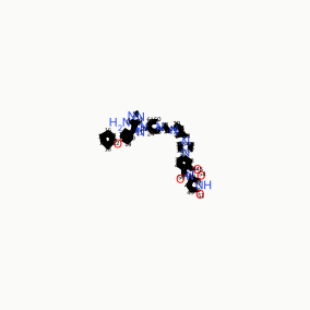 Nc1ncnc2c1c(-c1ccc(Oc3ccccc3)cc1)nn2C1CCN(CCN2CCC(CN3CCN(c4ccc5c(c4)C(=O)N(C4CCC(=O)NC4=O)C5=O)CC3)C2)CC1